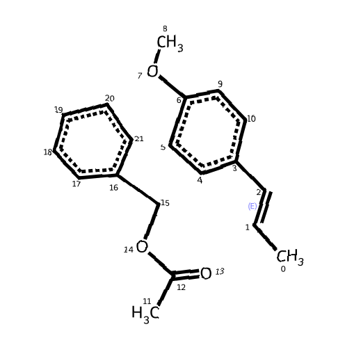 C/C=C/c1ccc(OC)cc1.CC(=O)OCc1ccccc1